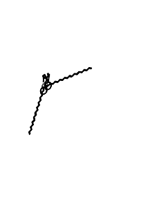 CCCCCC=CCC=CCCCCCCCCOC[C@H](CCN(CC)CC)OCCCCCCCCC=CCC=CCCCCC